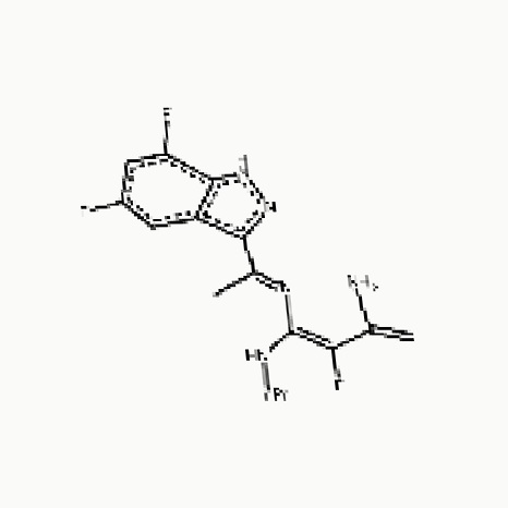 C=C(N)/C(F)=C(\N=C(/C)c1n[nH]c2c(F)cc(F)cc12)NCCC